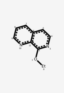 CCOc1nccc2cccnc12